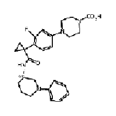 O=C(O)N1CCN(c2ccc(C3(C(=O)N[C@H]4CCCN(c5ccccc5)C4)CC3)c(F)c2)CC1